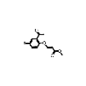 COC(=O)C=COc1ccc(F)cc1C(C)=O